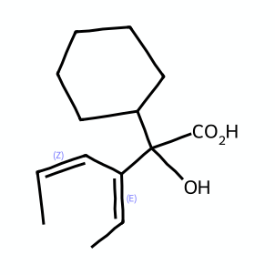 C/C=C\C(=C/C)C(O)(C(=O)O)C1CCCCC1